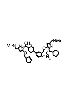 CNCc1cc(OCc2ccccc2)n(C(C)C2CCC(c3ccc(F)c(COc4cc(CNC)nn4C(C)C4CCCCC4)c3)CC2)n1